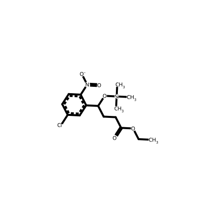 CCOC(=O)CCC(O[Si](C)(C)C)c1cc(Cl)ccc1[N+](=O)[O-]